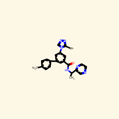 Cc1ccc(-c2cc(C(=O)NC(C)c3cnccn3)cc(-n3cnnc3C(C)C)c2)cc1